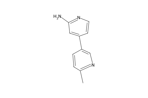 Cc1ccc(-c2ccnc(N)c2)cn1